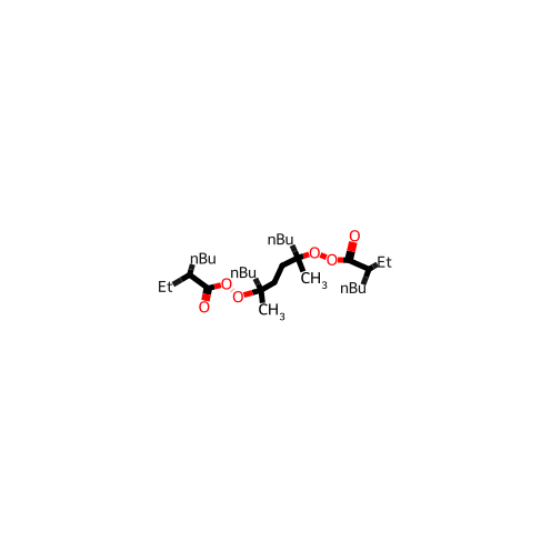 CCCCC(CC)C(=O)OOC(C)(CCCC)CCC(C)(CCCC)OOC(=O)C(CC)CCCC